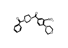 O=C(c1ccccc1)N1CCN(C(=O)c2ccc(N3CCOCC3)c([N+](=O)[O-])c2)CC1